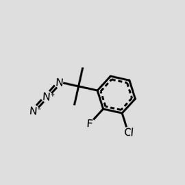 CC(C)(N=[N+]=[N-])c1cccc(Cl)c1F